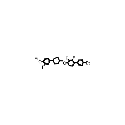 CCOc1ccc(C2CCC(COc3ccc(-c4ccc(CC)cc4)c(F)c3F)CC2)cc1F